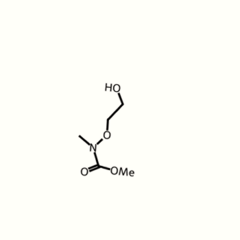 COC(=O)N(C)OCCO